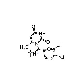 Cc1cc(=O)[nH]c(=O)n1/C(=N\O)c1ccc(Cl)c(Cl)c1